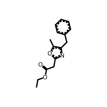 CCOC(=O)Cc1nc(Cc2ccccc2)c(C)o1